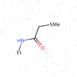 CCNC(=O)CSC